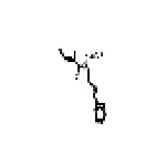 C/C=C(\C)C(=O)N(C=O)CCCCC1CC2C=CC1C2